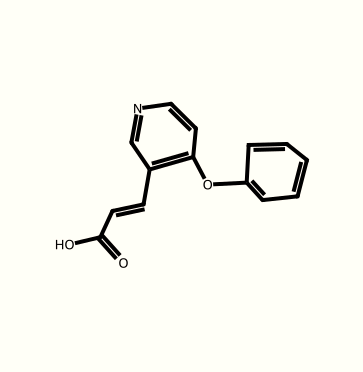 O=C(O)C=Cc1cnccc1Oc1ccccc1